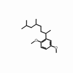 COc1ccc(OC)c(C(C)CCC(C)CC(C)C)c1